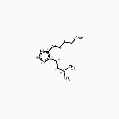 CSCCCSc1nnnn1CCN(C)C